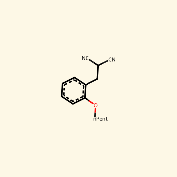 CCCCCOc1ccccc1CC(C#N)C#N